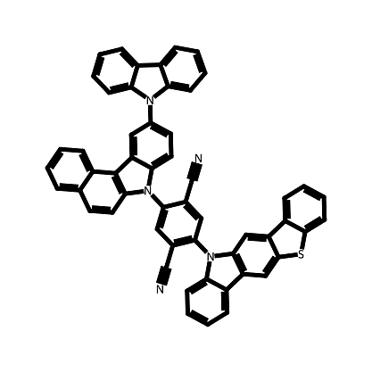 N#Cc1cc(-n2c3ccc(-n4c5ccccc5c5ccccc54)cc3c3c4ccccc4ccc32)c(C#N)cc1-n1c2ccccc2c2cc3sc4ccccc4c3cc21